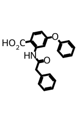 O=C(Cc1ccccc1)Nc1cc(Oc2ccccc2)ccc1C(=O)O